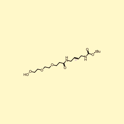 CC(C)(C)OC(=O)NC/C=C/CNC(=O)CCOCCOCCOO